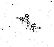 CC(C)C[C@H](NC(=O)[C@H](Cc1ccccc1)N(C)C(=O)[C@H](C)N(C)C(=O)OC(C)(C)C)C(=O)N(C)[C@@H](CC(C)C)C(=O)N[C@H](C(=O)O)[C@@H](C)O